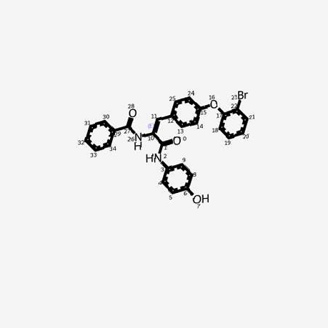 O=C(Nc1ccc(O)cc1)/C(=C\c1ccc(Oc2ccccc2Br)cc1)NC(=O)c1ccccc1